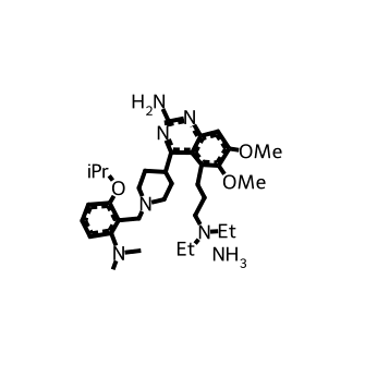 CCN(CC)CCCc1c(OC)c(OC)cc2nc(N)nc(C3CCN(Cc4c(OC(C)C)cccc4N(C)C)CC3)c12.N